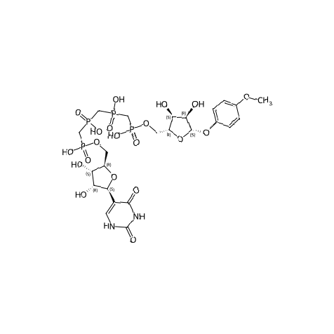 COc1ccc(O[C@@H]2O[C@H](COP(=O)(O)CP(=O)(O)CP(=O)(O)CP(=O)(O)OC[C@H]3O[C@@H](c4c[nH]c(=O)[nH]c4=O)[C@H](O)[C@@H]3O)[C@@H](O)[C@H]2O)cc1